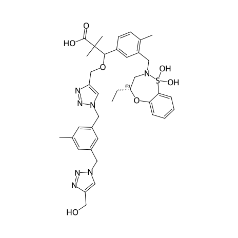 CC[C@@H]1CN(Cc2cc(C(OCc3cn(Cc4cc(C)cc(Cn5cc(CO)nn5)c4)nn3)C(C)(C)C(=O)O)ccc2C)S(O)(O)c2ccccc2O1